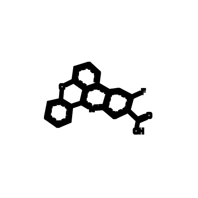 O=C(O)c1cc2nc3c4c(cccc4c2cc1F)Oc1ccccc1-3